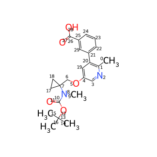 Cc1ncc(OCC2(N(C)C(=O)OC(C)(C)C)CC2)cc1-c1cccc(C(=O)O)c1